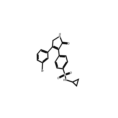 O=C1NCC(c2cccc(Br)c2)=C1c1ccc(S(=O)(=O)NC2CC2)cc1